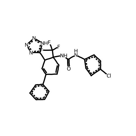 O=C(Nc1ccc(Cl)cc1)NC1(C(F)(F)F)C=CC(c2ccccc2)=CC1c1nnn[nH]1